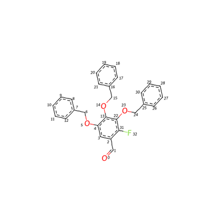 O=Cc1cc(OCc2ccccc2)c(OCc2ccccc2)c(OCc2ccccc2)c1F